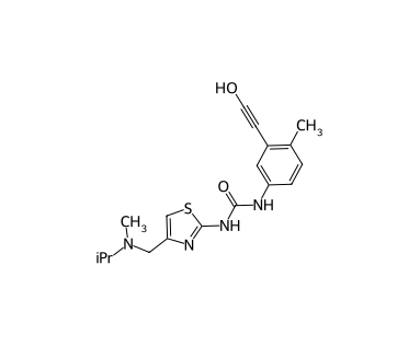 Cc1ccc(NC(=O)Nc2nc(CN(C)C(C)C)cs2)cc1C#CO